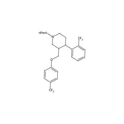 CCCCCN1CCC(c2ccccc2C(F)(F)F)C(COc2ccc(C(F)(F)F)cc2)C1